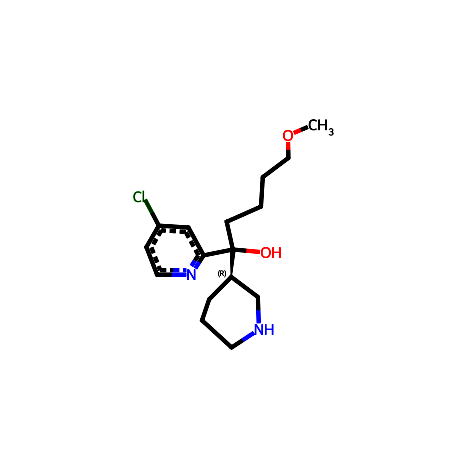 COCCCCC(O)(c1cc(Cl)ccn1)[C@@H]1CCCNC1